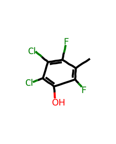 Cc1c(F)c(O)c(Cl)c(Cl)c1F